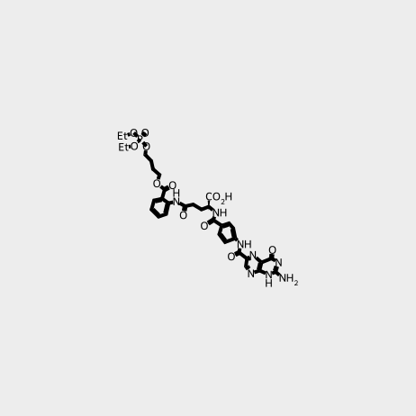 CCOP(=O)(OCC)OCCCCOC(=O)c1ccccc1NC(=O)CC[C@H](NC(=O)c1ccc(NC(=O)c2cnc3[nH]c(N)nc(=O)c3n2)cc1)C(=O)O